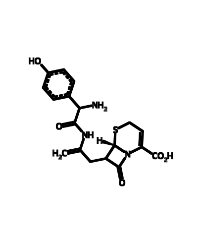 C=C(CC1C(=O)N2C(C(=O)O)=CCS[C@@H]12)NC(=O)C(N)c1ccc(O)cc1